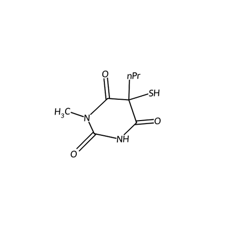 CCCC1(S)C(=O)NC(=O)N(C)C1=O